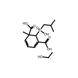 CC(C)CP(=O)(O)C1C(C(=O)O)=CC=CC1(C)C(=O)O.CCO